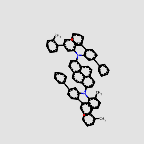 Cc1ccccc1-c1ccc(C)c(N(c2cc(-c3ccccc3)ccc2-c2ccccc2)c2ccc3ccc4c(N(c5cc(-c6ccccc6C)ccc5C)c5cc(-c6ccccc6)ccc5-c5ccccc5)ccc5ccc2c3c54)c1